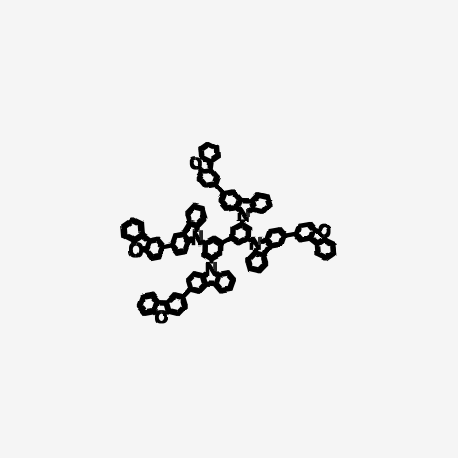 c1ccc2c(c1)oc1ccc(-c3ccc4c(c3)c3ccccc3n4-c3cc(-c4cc(-n5c6ccccc6c6cc(-c7ccc8oc9ccccc9c8c7)ccc65)cc(-n5c6ccccc6c6cc(-c7ccc8oc9ccccc9c8c7)ccc65)c4)cc(-n4c5ccccc5c5cc(-c6ccc7oc8ccccc8c7c6)ccc54)c3)cc12